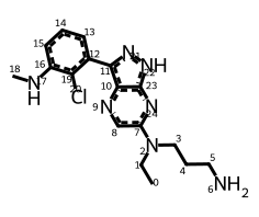 CCN(CCCN)c1cnc2c(-c3cccc(NC)c3Cl)n[nH]c2n1